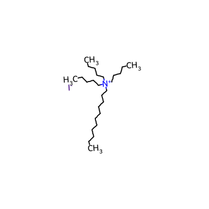 CCCCCCCCCCC[N+](CCCCC)(CCCCC)CCCCC.[I-]